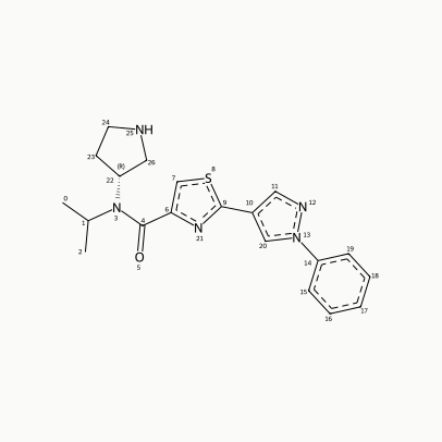 CC(C)N(C(=O)c1csc(-c2cnn(-c3ccccc3)c2)n1)[C@@H]1CCNC1